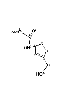 COC(=O)NC1C=C(CO)CC1